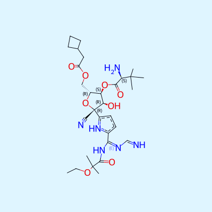 CCOC(C)(C)C(=O)N/C(=N/C=N)c1ccc([C@]2(C#N)O[C@H](COC(=O)CC3CCC3)[C@@H](OC(=O)[C@@H](N)C(C)(C)C)[C@H]2O)[nH]1